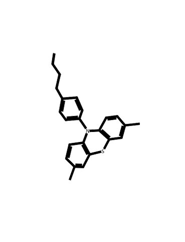 CCCCc1ccc(N2c3ccc(C)cc3Sc3cc(C)ccc32)cc1